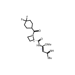 CO/C(=C\C(=N)C(C)(C)C)NC(=O)[C@@H]1CCN1C(=O)C1CCC(F)(F)CC1